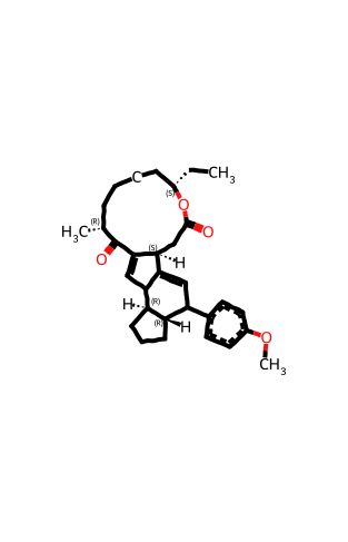 CC[C@H]1CCCC[C@@H](C)C(=O)C2=CC3C(=CC(c4ccc(OC)cc4)[C@@H]4CCC[C@@H]34)[C@@H]2CC(=O)O1